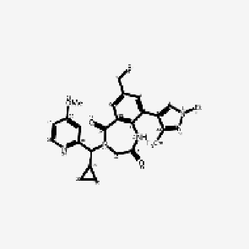 CCn1cc(-c2cc(CBr)cc3c2NC(=O)CN([C@H](c2cc(OC)ccn2)C2CC2)C3=O)c(C(F)(F)F)n1